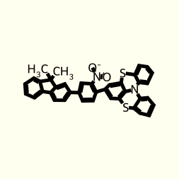 CC1(C)c2ccccc2-c2ccc(-c3ccc(-c4cc5c6c(c4)Sc4ccccc4N6c4ccccc4S5)c([N+](=O)[O-])c3)cc21